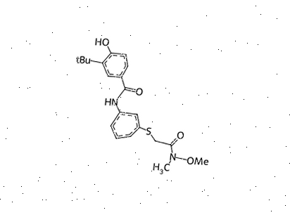 CON(C)C(=O)CSc1cccc(NC(=O)c2ccc(O)c(C(C)(C)C)c2)c1